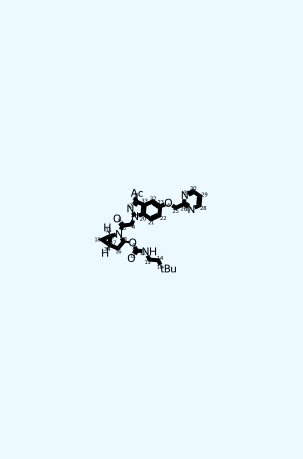 CC(=O)c1nn(CC(=O)N2[C@@H](OC(=O)NCCC(C)(C)C)C[C@H]3C[C@H]32)c2ccc(OCc3ncccn3)cc12